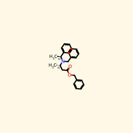 C[C@@H](CC(=O)OCc1ccccc1)N(Cc1ccccc1)[C@@H](C)c1ccccc1